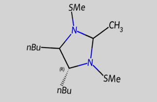 CCCCC1[C@@H](CCCC)N(SC)C(C)N1SC